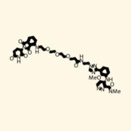 CNC(=O)c1nnccc1Nc1cccc(-c2ncn(CCNC(=O)CCOCCOCCOCCNc3cccc4c3C(=O)N(C3CCC(=O)NC3=O)C4=O)n2)c1OC